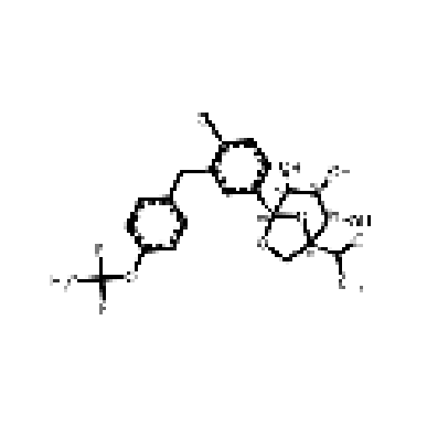 CC(O)[C@@]12CO[C@@](c3ccc(Cl)c(Cc4ccc(OC(C)(F)F)cc4)c3)(O1)[C@H](O)[C@@H](O)[C@@H]2O